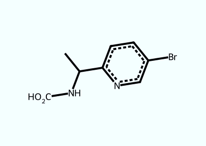 CC(NC(=O)O)c1ccc(Br)cn1